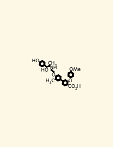 COc1ccc(Oc2cc(-c3ccc(OCCN[C@H](C)[C@@H](O)c4ccc(O)cc4)c(C)c3)ccc2C(=O)O)cc1